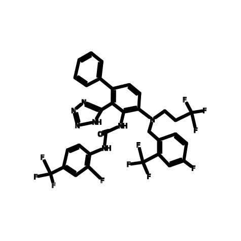 O=C(Nc1ccc(C(F)(F)F)cc1F)Nc1c(N(CCC(F)(F)F)Cc2ccc(F)cc2C(F)(F)F)ccc(-c2ccccc2)c1-c1nnn[nH]1